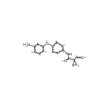 Nc1cc(Oc2ccc(NC(=O)C3(C=O)CC3)cc2)ccn1